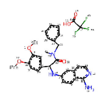 CCOc1cc(C(Nc2ccc3c(N)nccc3c2)C(=O)N(C)Cc2ccccc2)ccc1OC(C)C.O=C(O)C(F)(F)F